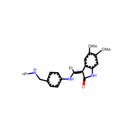 CCCNCc1ccc(N/C(CC)=C2\C(=O)Nc3cc(OC)c(OC)cc32)cc1